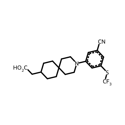 N#Cc1cc(SC(F)(F)F)cc(N2CCC3(CCC(CC(=O)O)CC3)CC2)c1